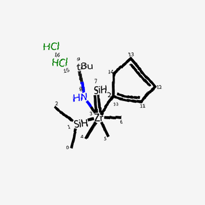 C[SiH](C)[Zr]([CH3])([CH3])([CH3])(=[SiH2])([NH]C(C)(C)C)[C]1=CC=CC1.Cl.Cl